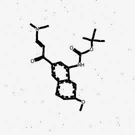 COc1ccc2cc(C(=O)C=CN(C)C)cc(NC(=O)OC(C)(C)C)c2c1